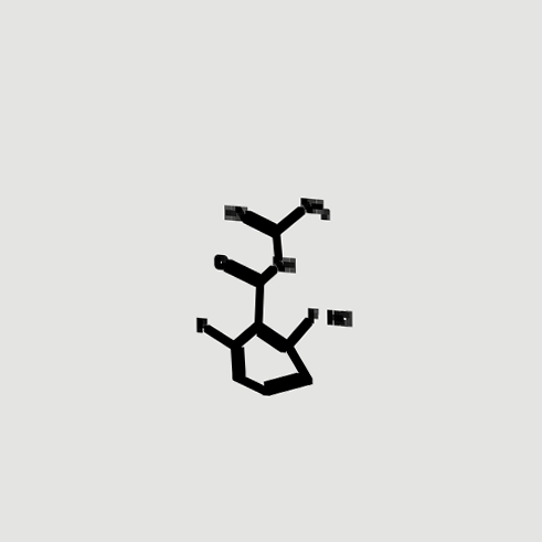 Cl.N=C(N)NC(=O)c1c(F)cccc1F